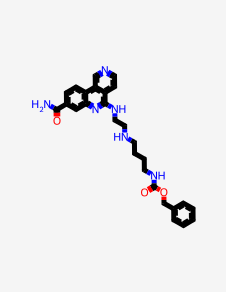 NC(=O)c1ccc2c(c1)nc(NCCNCCCCNC(=O)OCc1ccccc1)c1ccncc12